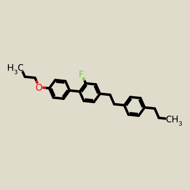 CCCOc1ccc(-c2ccc(CCc3ccc(CCC)cc3)cc2F)cc1